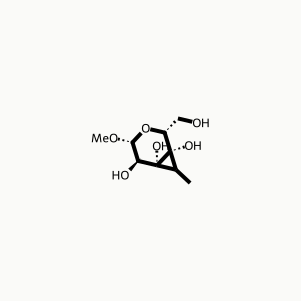 CO[C@@H]1O[C@H](CO)[C@@]2(O)C(C)[C@@]2(O)[C@H]1O